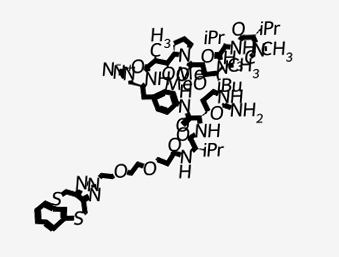 CC[C@H](C)[C@@H]([C@@H](CC(=O)N1CCC[C@H]1[C@H](OC)[C@@H](C)C(=O)N[C@H](CN=[N+]=[N-])Cc1ccc(NC(=O)[C@H](CCCNC(N)=O)NC(=O)[C@@H](NC(=O)CCOCCOCCn2nc3c(n2)CSC2=C/C(=C/C=C\C=C\2)SC3)C(C)C)cc1)OC)N(C)C(=O)[C@@H](NC(=O)[C@H](C(C)C)N(C)C)C(C)C